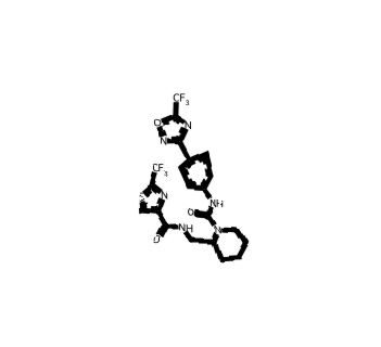 O=C(NCC1CCCCN1C(=O)Nc1ccc(-c2noc(C(F)(F)F)n2)cc1)c1csc(C(F)(F)F)n1